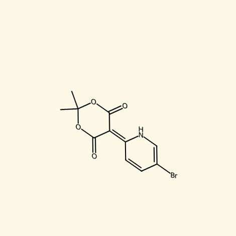 CC1(C)OC(=O)C(=C2C=CC(Br)=CN2)C(=O)O1